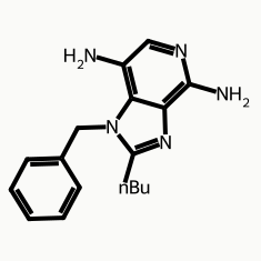 CCCCc1nc2c(N)ncc(N)c2n1Cc1ccccc1